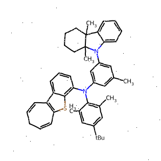 Cc1cc(N(c2c(C)cc(C(C)(C)C)cc2C)c2cccc3c4c(sc23)C=CCC=C4)cc(N2c3ccccc3C3(C)CCCCC23C)c1